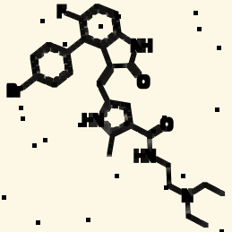 CCN(CC)CCNC(=O)c1cc(/C=C2\C(=O)Nc3ccc(F)c(-c4ccc(Br)cc4)c32)[nH]c1C